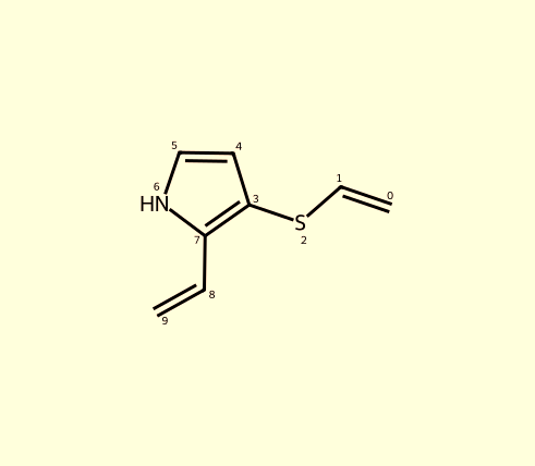 C=CSc1cc[nH]c1C=C